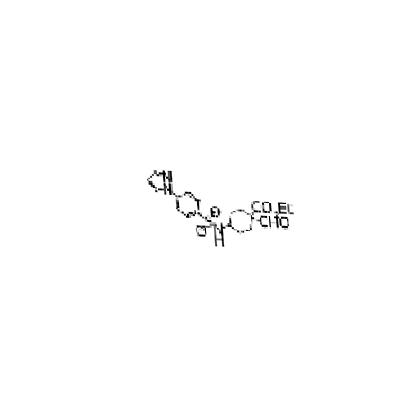 CCOC(=O)C1(C=O)CCC(NS(=O)(=O)c2ccc(-n3cccn3)cc2)CC1